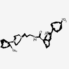 COc1ccccc1N1CCN(CCCNC(=O)c2cccc3cc(-c4ccc([N+](=O)[O-])cc4)[nH]c23)CC1